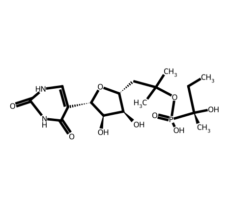 CC[C@](C)(O)P(=O)(O)OC(C)(C)C[C@H]1O[C@@H](c2c[nH]c(=O)[nH]c2=O)[C@H](O)[C@@H]1O